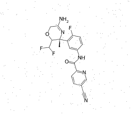 C[C@]1(c2cc(NC(=O)c3ccc(C#N)cn3)ccc2F)N=C(N)COC1C(F)F